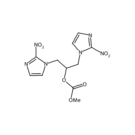 COC(=O)OC(Cn1ccnc1[N+](=O)[O-])Cn1ccnc1[N+](=O)[O-]